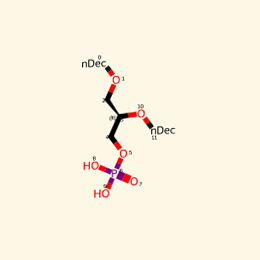 CCCCCCCCCCOC[C@H](COP(=O)(O)O)OCCCCCCCCCC